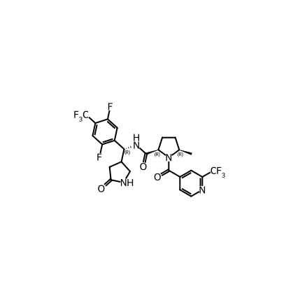 C[C@@H]1CC[C@H](C(=O)N[C@@H](c2cc(F)c(C(F)(F)F)cc2F)C2CNC(=O)C2)N1C(=O)c1ccnc(C(F)(F)F)c1